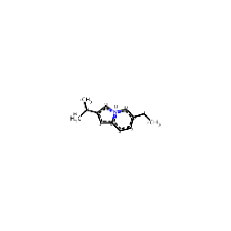 CCc1ccc2cc(C(C)C)cn2c1